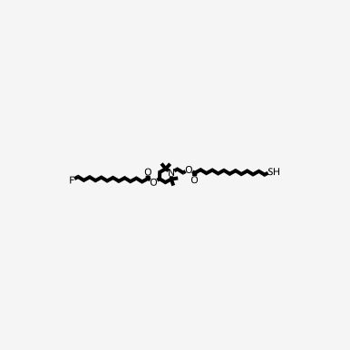 CC1(C)CC(OC(=O)CCCCCCCCCCCCF)CC(C)(C)N1CCOC(=O)CCCCCCCCCCCCS